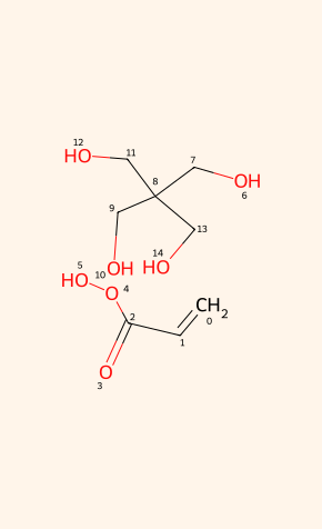 C=CC(=O)OO.OCC(CO)(CO)CO